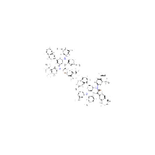 CC(C)(C)c1cc(N2c3cc(C(C)(C)C)ccc3B3c4c2cc(-c2cccc5c(C6CC(C)(C)c7cc8c9c(sc8cc7C6(C)C)N(c6ccc7c(c6)C(C)(C)CCC7(C)C)c6cc(-c7ccc8ccccc8c7)cc7c6B9c6cc(C(C)(C)C)ccc6N7c6cc(C(C)(C)C)cc(C(C)(C)C)c6)cccc25)cc4N(c2ccc4c(c2)C(C)(C)CCC4(C)C)c2sc4cc5c(cc4c23)C(C)(C)CCC5(C)C)cc(C(C)(C)C)c1